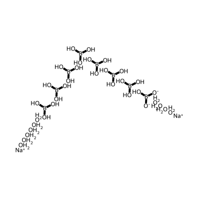 O.O.O.O.O.O.O.O.O.O.OB(O)O.OB(O)O.OB(O)O.OB(O)O.OB(O)O.OB(O)O.OB(O)O.[Na+].[Na+].[O-]B([O-])O